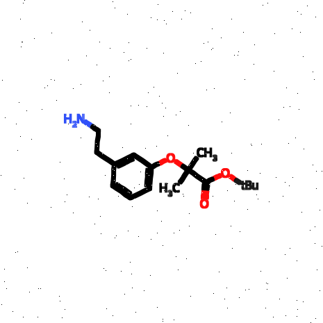 CC(C)(C)OC(=O)C(C)(C)Oc1cccc(CCN)c1